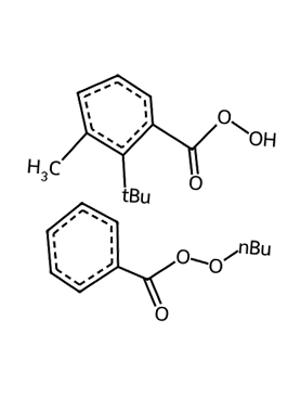 CCCCOOC(=O)c1ccccc1.Cc1cccc(C(=O)OO)c1C(C)(C)C